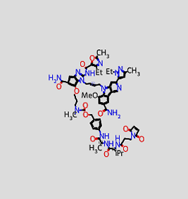 CCc1nc(C)oc1C(=O)Nc1nc2cc(C(N)=O)cc(OCCCN(C)C(=O)OCc3ccc(NC(=O)[C@H](C)NC(=O)[C@@H](NC(=O)CCN4C(=O)C=CC4=O)C(C)C)cc3)c2n1C/C=C/Cn1c2cc(-c3cc(C)nn3CC)ncc2c2cc(C(N)=O)cc(OC)c21